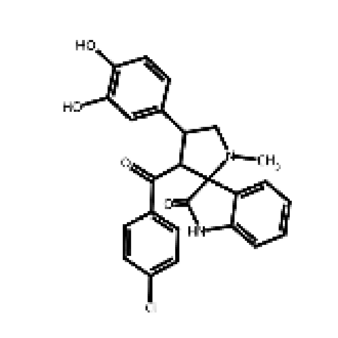 CN1CC(c2ccc(O)c(O)c2)C(C(=O)c2ccc(Cl)cc2)C12C(=O)Nc1ccccc12